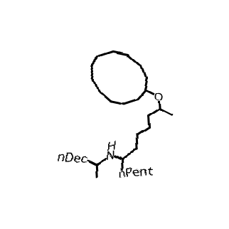 CCCCCCCCCCC(C)NC(CCCCC)CCCCC(C)OC1CCCCCCCCCCC1